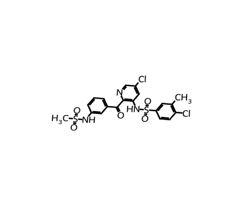 Cc1cc(S(=O)(=O)Nc2cc(Cl)cnc2C(=O)c2cccc(NS(C)(=O)=O)c2)ccc1Cl